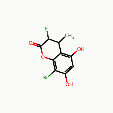 CC1c2c(O)cc(O)c(Br)c2OC(=O)C1F